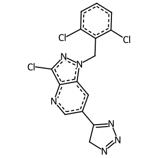 Clc1cccc(Cl)c1Cn1nc(Cl)c2ncc(C3=NN=NC3)cc21